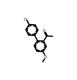 COc1ccc(-c2ccc(Cl)cc2)c(C(C)=O)c1